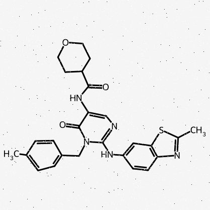 Cc1ccc(Cn2c(Nc3ccc4nc(C)sc4c3)ncc(NC(=O)C3CCOCC3)c2=O)cc1